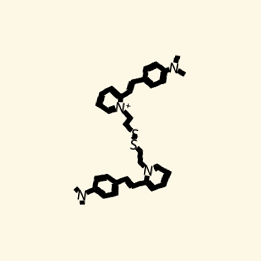 CN(C)c1ccc(/C=C/c2cccc[n+]2CCSSCC[n+]2ccccc2/C=C/c2ccc(N(C)C)cc2)cc1